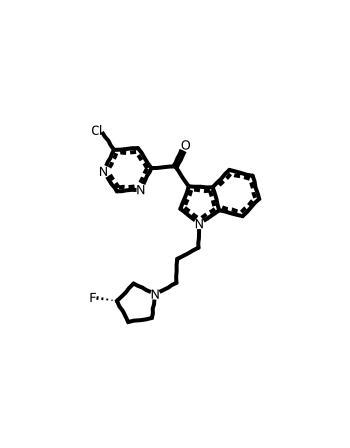 O=C(c1cc(Cl)ncn1)c1cn(CCCN2CC[C@H](F)C2)c2ccccc12